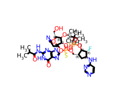 CC(C)C(=O)Nc1nc2c(ncn2[C@@H]2O[C@H](CO)[C@@H](O[Si](C)(C)C(C)(C)C)[C@@H]2OP(=S)(OCCC#N)OC[C@H]2C[C@@H](Nc3ccncn3)[C@@H](F)[C@@H]2O[PH](=O)O)c(=O)[nH]1